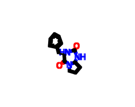 O=C1NC2CCCN2C(=O)[C@H](Cc2ccccc2)N1